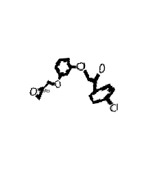 O=C(COc1cccc(OC[C@H]2CO2)c1)c1ccc(Cl)cc1